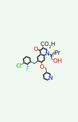 CC(C)[C@@H](CO)n1cc(C(=O)O)c(=O)c2cc(Cc3cccc(Cl)c3F)c(OCc3cccnc3)cc21